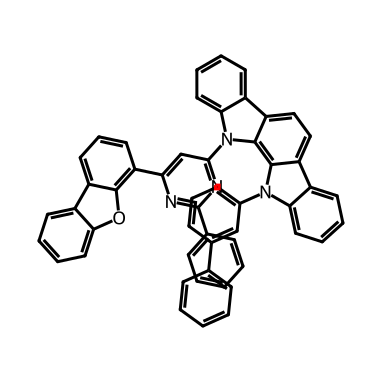 c1ccc(-c2cccc(-n3c4ccccc4c4ccc5c6ccccc6n(-c6cc(-c7cccc8c7oc7ccccc78)nc(-c7ccccc7)n6)c5c43)c2)cc1